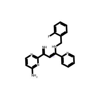 N=C(/C=C(\NCc1ccccc1F)c1ccccn1)c1nccc(N)n1